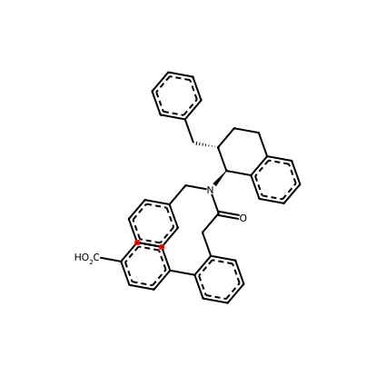 O=C(O)c1ccc(-c2ccccc2CC(=O)N(Cc2ccccc2)[C@@H]2c3ccccc3CC[C@H]2Cc2ccccc2)cc1